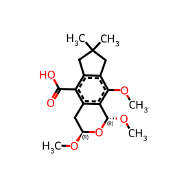 COc1c2c(c(C(=O)O)c3c1[C@H](OC)O[C@@H](OC)C3)CC(C)(C)C2